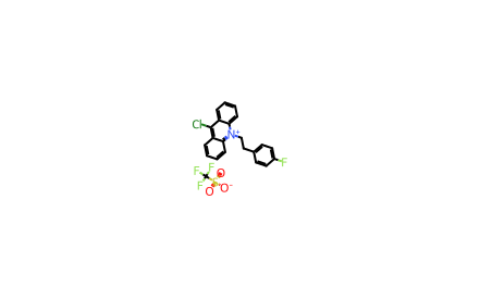 Fc1ccc(CC[n+]2c3ccccc3c(Cl)c3ccccc32)cc1.O=S(=O)([O-])C(F)(F)F